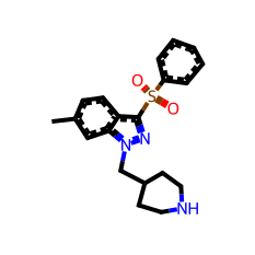 Cc1ccc2c(S(=O)(=O)c3ccccc3)nn(CC3CCNCC3)c2c1